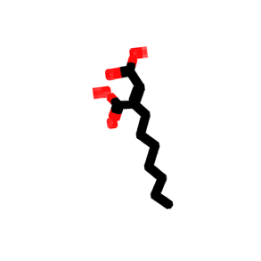 CCCCCCCC(=CC(=O)O)C(=O)O